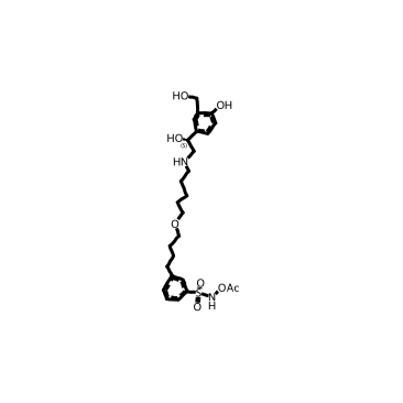 CC(=O)ONS(=O)(=O)c1cccc(CCCCOCCCCCNC[C@@H](O)c2ccc(O)c(CO)c2)c1